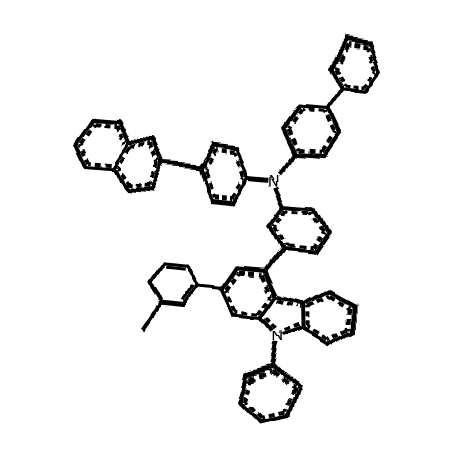 CC1C=C(c2cc(-c3cccc(N(c4ccc(-c5ccccc5)cc4)c4ccc(-c5ccc6ccccc6c5)cc4)c3)c3c4ccccc4n(-c4ccccc4)c3c2)C=CC1